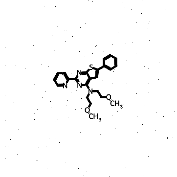 COCCN(CCOC)c1nc(-c2ccccn2)nc2sc(-c3ccccc3)cc12